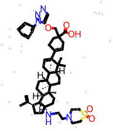 C=C(C)[C@@H]1CC[C@]2(NCCN3CCS(=O)(=O)CC3)CC[C@]3(C)[C@H](CC[C@@H]4[C@@]5(C)CC=C(C6=CCC(COc7cnnn7-c7ccccc7)(C(=O)O)CC6)C(C)(C)[C@@H]5CC[C@]43C)[C@@H]12